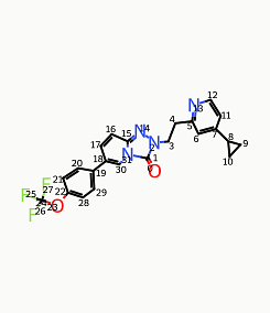 O=c1n(CCc2cc(C3CC3)ccn2)nc2ccc(-c3ccc(OC(F)(F)F)cc3)cn12